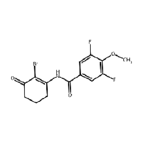 COc1c(F)cc(C(=O)NC2=C(Br)C(=O)CCC2)cc1F